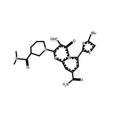 CN(C)C(=O)C1CCCN(c2nc3cc(C(N)=O)cc(-c4nc(C(C)(C)C)cs4)n3c(=O)c2C=O)C1